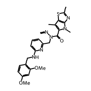 C=NN(Cc1cccc(NCc2ccc(OC)cc2OC)n1)C(=O)c1c(C)c2sc(C)nc2n1C